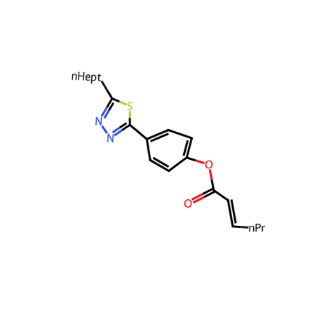 CCCC=CC(=O)Oc1ccc(-c2nnc(CCCCCCC)s2)cc1